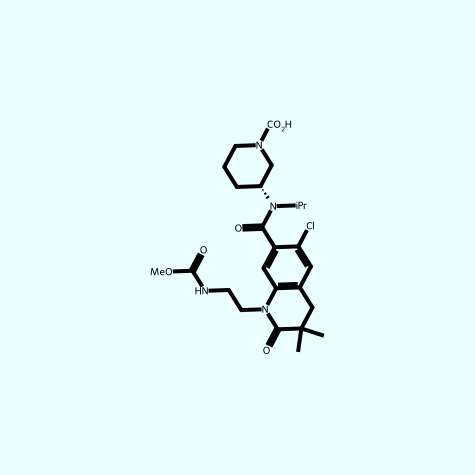 COC(=O)NCCN1C(=O)C(C)(C)Cc2cc(Cl)c(C(=O)N(C(C)C)[C@@H]3CCCN(C(=O)O)C3)cc21